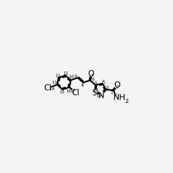 NC(=O)c1[c]c(C(=O)C=Cc2ccc(Cl)cc2Cl)sn1